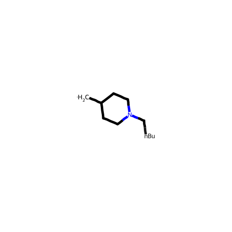 [CH2]C1CCN(CCCCC)CC1